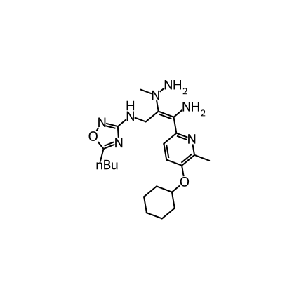 CCCCc1nc(NC/C(=C(/N)c2ccc(OC3CCCCC3)c(C)n2)N(C)N)no1